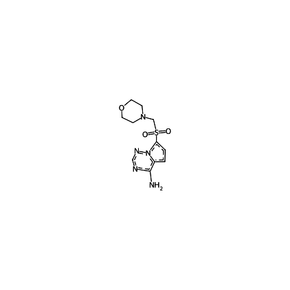 Nc1ncnn2c(S(=O)(=O)CN3CCOCC3)ccc12